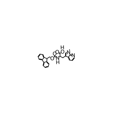 Cn1cc(CC(NC(=O)OCC2c3ccccc3-c3ccccc32)C(=O)O)c2cccnc21